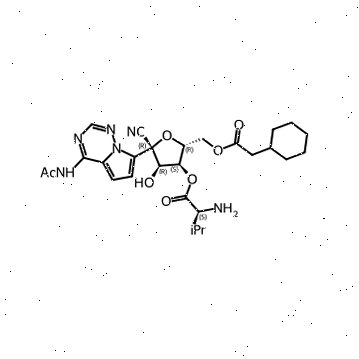 CC(=O)Nc1ncnn2c([C@]3(C#N)O[C@H](COC(=O)CC4CCCCC4)[C@@H](OC(=O)[C@@H](N)C(C)C)[C@H]3O)ccc12